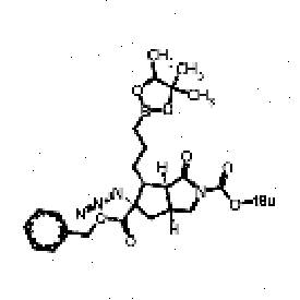 CC1OB(CCC[C@H]2[C@@H]3C(=O)N(C(=O)OC(C)(C)C)C[C@@H]3C[C@@]2(N=[N+]=[N-])C(=O)OCc2ccccc2)OC1(C)C